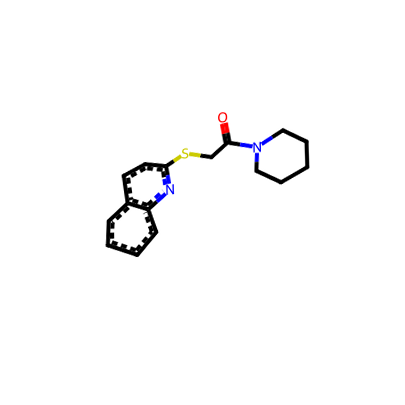 O=C(CSc1ccc2ccccc2n1)N1CCCCC1